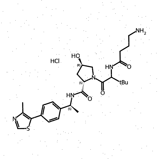 Cc1ncsc1-c1ccc([C@H](C)NC(=O)[C@@H]2C[C@@H](O)CN2C(=O)C(NC(=O)CCCN)C(C)(C)C)cc1.Cl